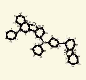 c1ccc(-c2cc3c4cc(N(c5ccccc5)c5ccc(-c6cccc7c6oc6ccccc67)cc5)ccc4oc3c3ccccc23)cc1